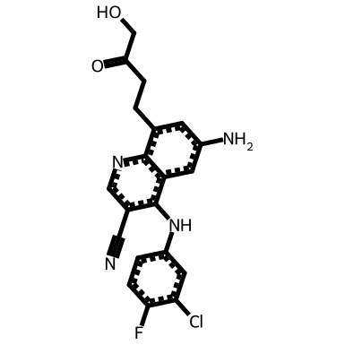 N#Cc1cnc2c(CCC(=O)CO)cc(N)cc2c1Nc1ccc(F)c(Cl)c1